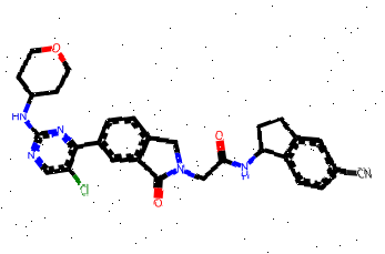 N#Cc1ccc2c(c1)CCC2NC(=O)CN1Cc2ccc(-c3nc(NC4CCOCC4)ncc3Cl)cc2C1=O